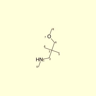 CNCC(C)(C)COC